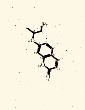 CC(C)CC(C)Oc1ccc2ccc(=O)oc2c1